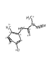 CNN(C)C(=S)Nc1cc(Cl)ccc1C